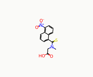 CN(CC(=O)O)C(=S)c1cccc2c([N+](=O)[O-])cccc12